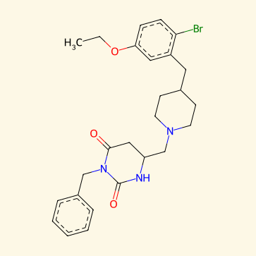 CCOc1ccc(Br)c(CC2CCN(CC3CC(=O)N(Cc4ccccc4)C(=O)N3)CC2)c1